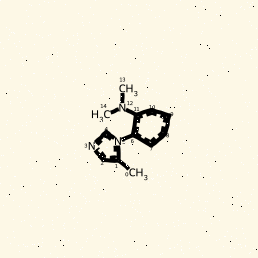 Cc1cncn1-c1ccccc1N(C)C